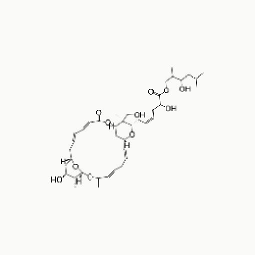 CC(C)CC(O)C(C)COC(=O)C(O)C/C=C\C[C@@H]1O[C@@H]2/C=C/C/C=C/C(C)C[C@H]3O[C@@H](C/C=C/C=C/C(=O)O[C@H](C2)[C@@]1(C)CO)C[C@H](O)[C@H]3C